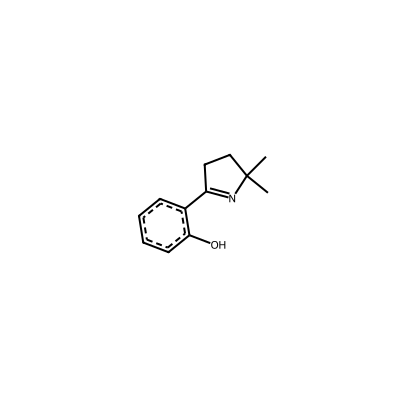 CC1(C)CCC(c2ccccc2O)=N1